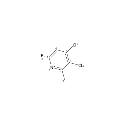 Cc1nccc(Cl)c1Cl.[Pt]